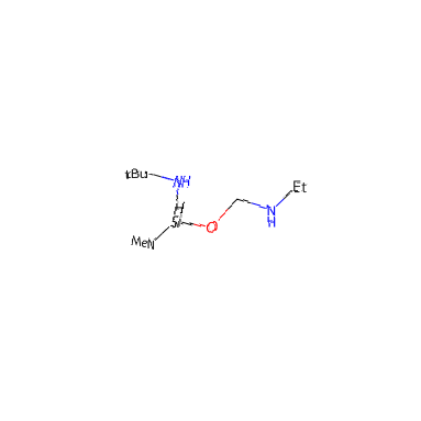 CCNCO[SiH](NC)NC(C)(C)C